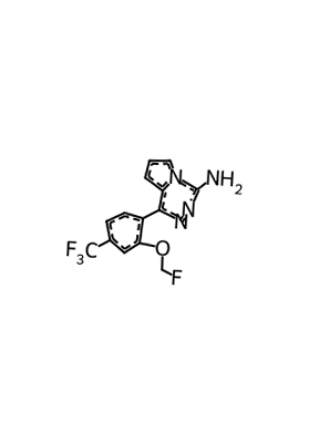 Nc1nnc(-c2ccc(C(F)(F)F)cc2OCF)c2cccn12